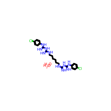 N=C(NCCCCCCNC(=N)NC(=N)Nc1ccc(Cl)cc1)NC(=N)Nc1ccc(Cl)cc1.O.O